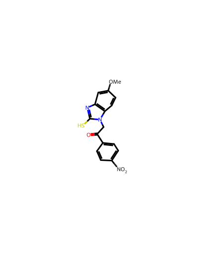 COc1ccc2c(c1)nc(S)n2CC(=O)c1ccc([N+](=O)[O-])cc1